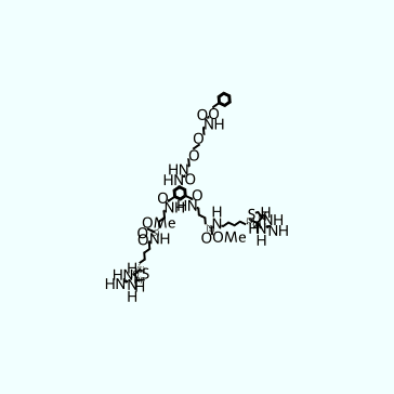 COC(=O)[C@H](CCCCNC(=O)c1cc(NC(=O)NCCOCCOCCNC(=O)OCc2ccccc2)cc(C(=O)NCCCC[C@H](NC(=O)CCCC[C@@H]2SC[C@@H]3NC(=N)N[C@@H]32)C(=O)OC)c1)NCCCCC[C@@H]1SC[C@@H]2NC(=N)N[C@@H]21